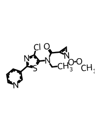 CCN(C(=O)C1=CN1OOC)c1sc(-c2cccnc2)nc1Cl